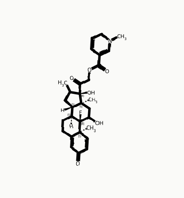 CC1C[C@H]2[C@@H]3CCC4=CC(=O)C=C[C@]4(C)[C@@]3(F)C(O)C[C@]2(C)[C@@]1(O)C(=O)COC(=O)C1=CN(C)CC=C1